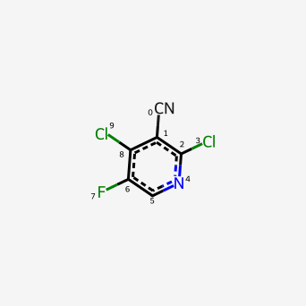 N#Cc1c(Cl)ncc(F)c1Cl